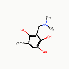 CN(C)Cc1c(O)c(O)cc(C=O)c1O